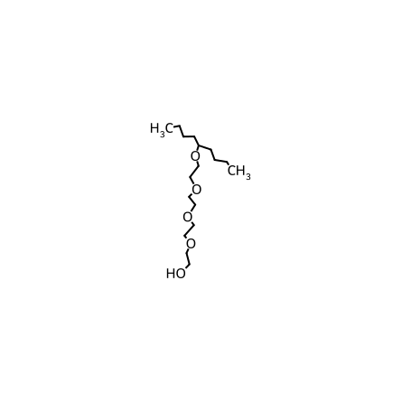 CCCCC(CCCC)OCCOCCOCCOCCO